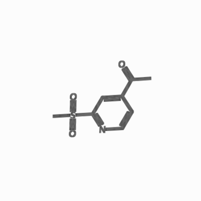 CC(=O)c1ccnc(S(C)(=O)=O)c1